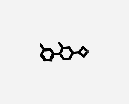 CC1CN(C2COC2)CCN1c1cc(I)ccn1